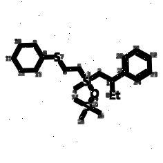 CCC(C[Si](C)(CCSC1CCCCC1)O[Si](C)(C)C)c1ccccc1